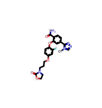 CCn1cnnc1-c1ccc(C(N)=O)c(Oc2ccc(OCCCN3CCOC3=O)cc2F)c1